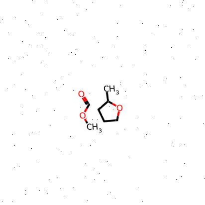 CC1CCCO1.COC=O